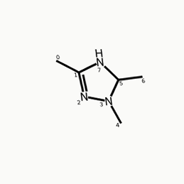 CC1=NN(C)C(C)N1